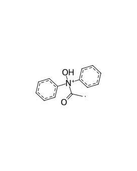 [CH2]C(=O)[N+](O)(c1ccccc1)c1ccccc1